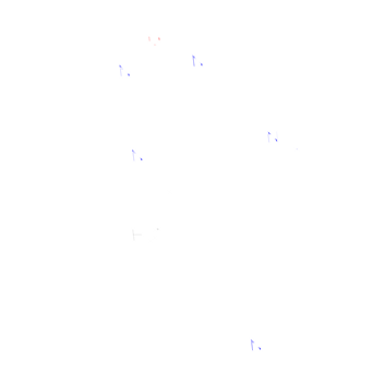 Cc1nc2nonc2c(N)c1Cc1cccnc1